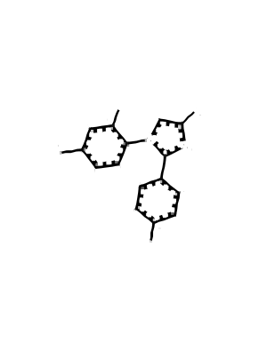 CCOC(=O)c1cn(-c2ccc(Cl)cc2Cl)c(-c2ccc(Cl)cc2)n1